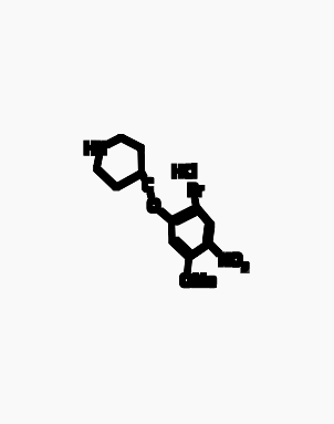 COc1cc(OCC2CCNCC2)c(Br)cc1[N+](=O)[O-].Cl